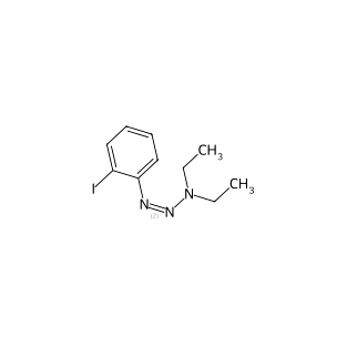 CCN(CC)/N=N\c1ccccc1I